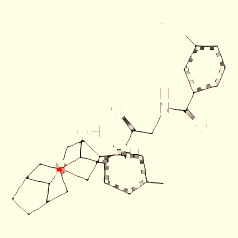 Cc1ccc(C(O)C2CC3CCC(C2)C3N2CCC(NC(=O)CNC(=O)c3cccc(C(F)(F)F)c3)C2)nc1